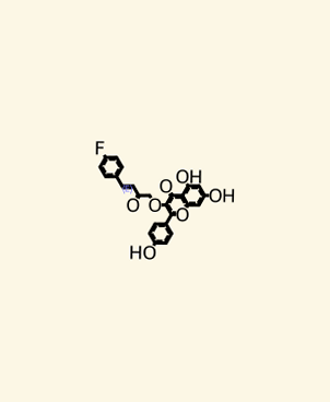 O=C(/C=C/c1ccc(F)cc1)COc1c(-c2ccc(O)cc2)oc2cc(O)cc(O)c2c1=O